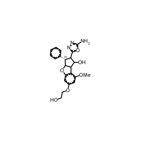 COc1cc(OCCO)cc2c1C1C(O)C(c3nnc(N)o3)[C@@H](c3ccccc3)C1O2